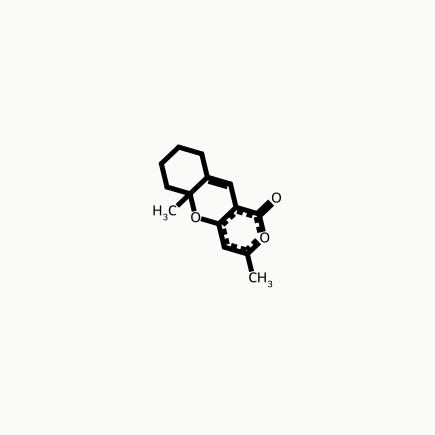 Cc1cc2c(c(=O)o1)C=C1CCCCC1(C)O2